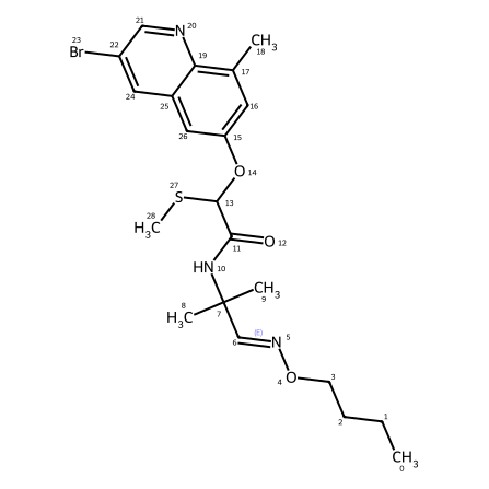 CCCCO/N=C/C(C)(C)NC(=O)C(Oc1cc(C)c2ncc(Br)cc2c1)SC